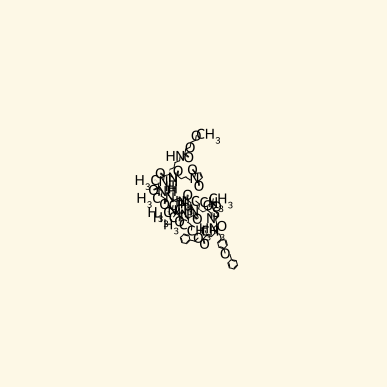 CC[C@H](C)[C@H](NC(=O)C(C)(C)N(C)C)C(=O)N(CCC(=O)NCCNC(=O)[C@H](C)NC(=O)[C@H](C)NC(=O)[C@H](CCCCNC(=O)COCCOC)NC(=O)CCCN1C(=O)C=CC1=O)[C@H](C[C@@H](OC(C)=O)c1nc(C(=O)N[C@@H](Cc2ccc(OCc3ccccc3)cc2)C[C@H](C)C(=O)OCc2ccccc2)cs1)C(C)C